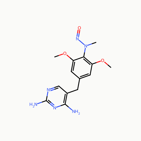 COc1cc(Cc2cnc(N)nc2N)cc(OC)c1N(C)N=O